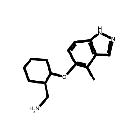 Cc1c(OC2CCCCC2CN)ccc2[nH]ncc12